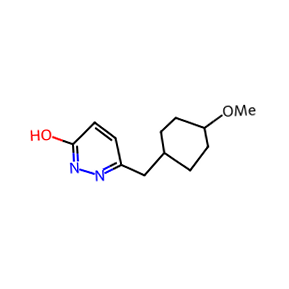 COC1CCC(Cc2ccc(O)nn2)CC1